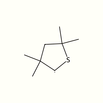 CC1(C)[CH]SC(C)(C)C1